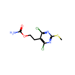 CSc1nc(Cl)c(CCOC(N)=O)c(Cl)n1